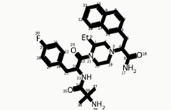 CCC1CN(C(Cc2ccc3ccccc3c2)C(N)=O)CCN1C(=O)C(Cc1ccc(F)cc1)NC(=O)C(C)(C)N